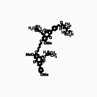 COc1ccc(C2=CN3C(=O)c4cc(OC)c(OCCCCCOc5cc6c(cc5OC)C(=O)N5C=C(c7ccc(CNC(=O)[C@H](C)NC(=O)[C@@H](NC(=O)O)C(C)C)cc7)C[C@H]5C(=O)N6COCC[Si](C)(C)C)cc4N(COCC[Si](C)(C)C)C(=O)[C@@H]3C2)cc1